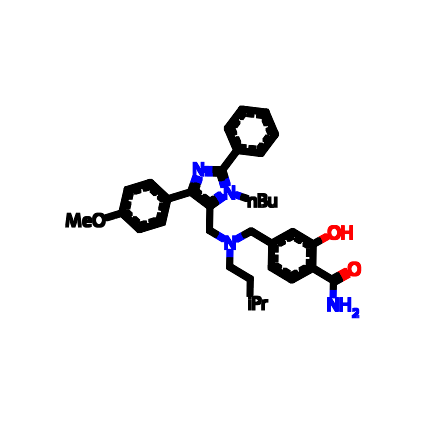 CCCCn1c(-c2ccccc2)nc(-c2ccc(OC)cc2)c1CN(CCC(C)C)Cc1ccc(C(N)=O)c(O)c1